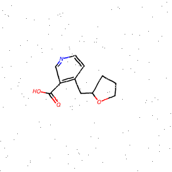 O=C(O)c1cnccc1CC1CCCO1